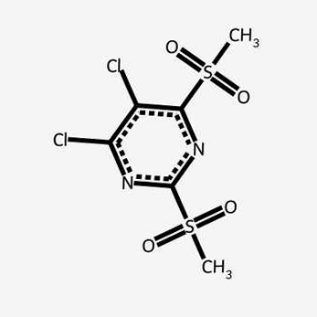 CS(=O)(=O)c1nc(Cl)c(Cl)c(S(C)(=O)=O)n1